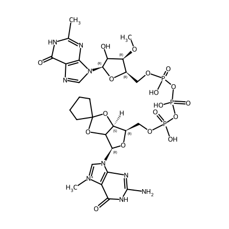 CO[C@@H]1C(O)[C@H](n2cnc3c(=O)[nH]c(C)nc32)O[C@@H]1COP(=O)(O)OP(=O)(O)OP(=O)(O)OC[C@H]1O[C@@H](n2c[n+](C)c3c(=O)[nH]c(N)nc32)C2OC3(CCCC3)O[C@H]21